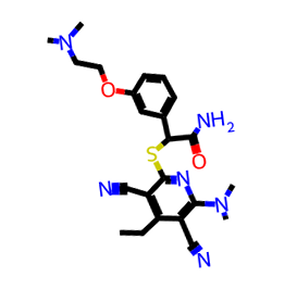 CCc1c(C#N)c(SC(C(N)=O)c2cccc(OCCN(C)C)c2)nc(N(C)C)c1C#N